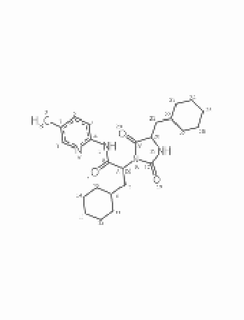 Cc1ccc(NC(=O)[C@H](CC2CCCCC2)N2C(=O)NC(CC3CCCCC3)C2=O)nc1